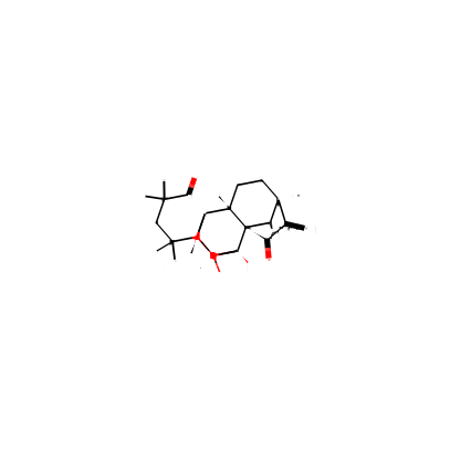 C=C1C(=O)[C@]23[C@H](C)[C@H]1CC[C@H]2[C@@]12CO[C@]3(O)[C@@H](O)[C@@H]1C(C)(C)CC(C)(C)C2=O